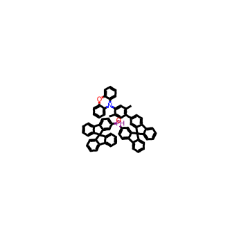 Cc1cc(N2c3ccccc3Oc3ccccc32)c(C)cc1-c1ccc2c(c1)C1(c3ccccc3-2)c2ccccc2-c2ccc([PH](=O)c3ccc4c(c3)C3(c5ccccc5-c5ccccc53)c3ccccc3-4)cc21